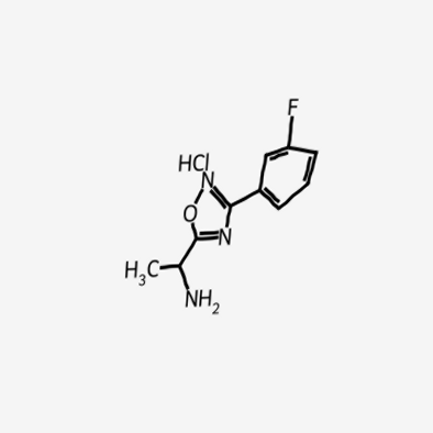 CC(N)c1nc(-c2cccc(F)c2)no1.Cl